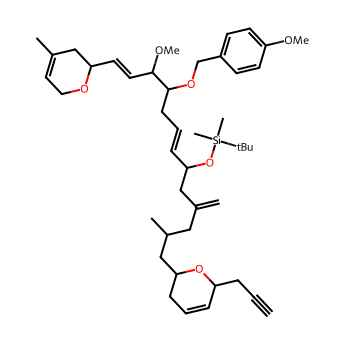 C#CCC1C=CCC(CC(C)CC(=C)CC(C=CCC(OCc2ccc(OC)cc2)C(C=CC2CC(C)=CCO2)OC)O[Si](C)(C)C(C)(C)C)O1